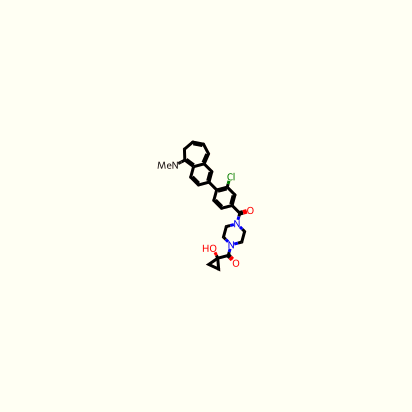 CNC1=c2ccc(-c3ccc(C(=O)N4CCN(C(=O)C5(O)CC5)CC4)cc3Cl)cc2=CC=CC1